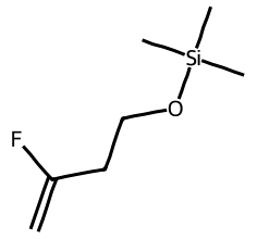 C=C(F)CCO[Si](C)(C)C